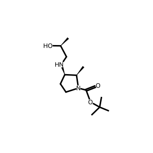 C[C@H](O)CN[C@@H]1CCN(C(=O)OC(C)(C)C)[C@@H]1C